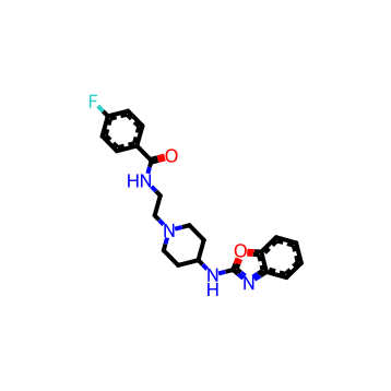 O=C(NCCN1CCC(Nc2nc3ccccc3o2)CC1)c1ccc(F)cc1